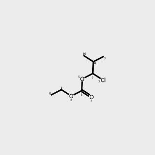 CCOC(=O)OC(Cl)C(C)C